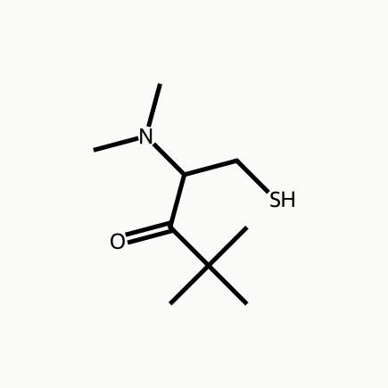 CN(C)C(CS)C(=O)C(C)(C)C